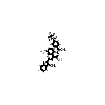 Cc1c(-c2cc(C(=O)O)c3c(O[C@H](C)c4ccc(S(=O)(=O)C(F)(F)F)cc4)ccc(C)c3n2)oc2ccccc12